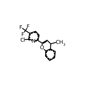 CC1C=C(c2ccc(C(F)(F)F)c(Cl)n2)Oc2ccccc21